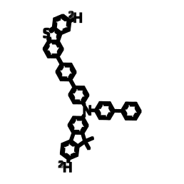 [2H]c1ccc2c(c1)C(C)(C)c1cc(N(c3ccc(-c4ccccc4)cc3)c3ccc(-c4ccc(-c5ccc6sc7ccc([2H])cc7c6c5)cc4)cc3)ccc1-2